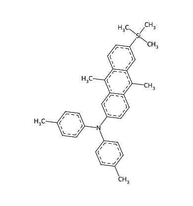 Cc1ccc(N(c2ccc(C)cc2)c2ccc3c(C)c4cc([Si](C)(C)C)ccc4c(C)c3c2)cc1